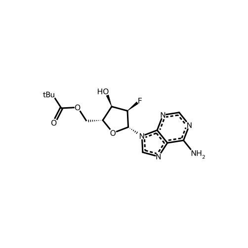 CC(C)(C)C(=O)OC[C@H]1O[C@@H](n2cnc3c(N)ncnc32)[C@H](F)[C@@H]1O